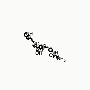 CC(CC(C)(C)N)C(=O)N[C@H]1CC[C@H](CCOc2ccc([C@H](CC(=O)O)N3CCN(CCCc4ccc5c(n4)NCCC5)C3=O)cc2F)CC1